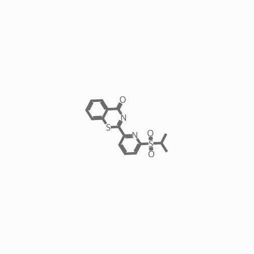 CC(C)S(=O)(=O)c1cccc(-c2nc(=O)c3ccccc3s2)n1